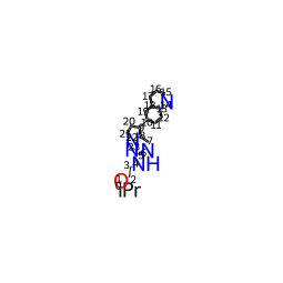 CC(C)OCCNc1ncc2c(-c3ccc4ncccc4c3)ccn2n1